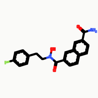 NC(=O)c1ccc2ccc(C(=O)N(O)CCc3ccc(F)cc3)cc2c1